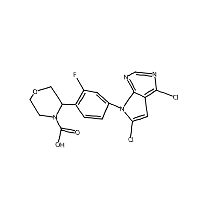 O=C(O)N1CCOCC1c1ccc(-n2c(Cl)cc3c(Cl)ncnc32)cc1F